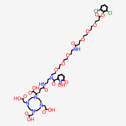 O=C(O)CN1CCN(CC(=O)O)CCN([C@H](CCC(=O)NCCN(CCOCCOCCOCCNC(=O)CCOCCOCCOCCC(=O)Oc2c(Cl)cccc2Cl)C(=O)c2cccc(=O)n2O)C(=O)O)CCN(CC(=O)O)CC1